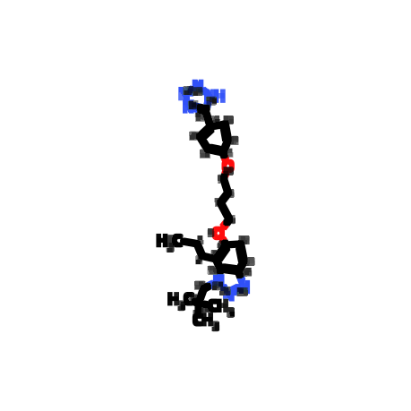 CCCc1c(OCCCCOc2ccc(-c3nnn[nH]3)cc2)ccc2nnn(CC(C)(C)C)c12